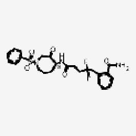 NC(=O)c1ccccc1CC(F)(F)C[CH]C(=O)N[C@H]1CCCN(S(=O)(=O)c2ccccc2)CC1=O